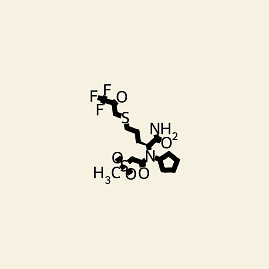 CS(=O)(=O)CC(=O)N(C1CCCC1)[C@@H](CCCSCC(=O)C(F)(F)F)C(N)=O